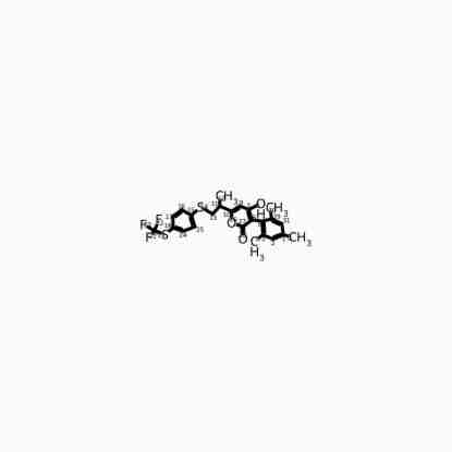 Cc1cc(C)c(-c2c(O)cc(C(C)CSc3ccc(SC(F)(F)F)cc3)oc2=O)c(C)c1